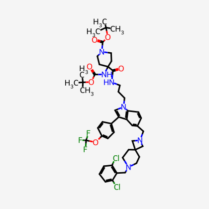 CC(C)(C)OC(=O)NC1(C(=O)NCCCn2cc(-c3ccc(OC(F)(F)F)cc3)c3cc(CN4CC5(CCN(Cc6c(Cl)cccc6Cl)CC5)C4)ccc32)CCN(C(=O)OC(C)(C)C)CC1